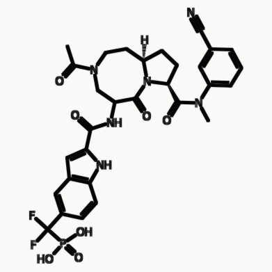 CC(=O)N1CC[C@H]2CC[C@@H](C(=O)N(C)c3cccc(C#N)c3)N2C(=O)C(NC(=O)c2cc3cc(C(F)(F)P(=O)(O)O)ccc3[nH]2)C1